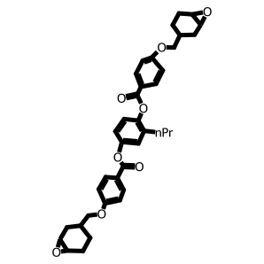 CCCc1cc(OC(=O)c2ccc(OCC3CCC4OC4C3)cc2)ccc1OC(=O)c1ccc(OCC2CCC3OC3C2)cc1